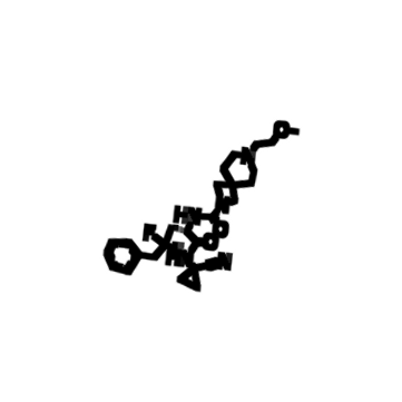 COCCN1CCC2(CC1)CN(C(=O)N[C@@H](CC(F)(F)Cc1ccccc1)C(=O)NC1(C#N)CC1)C2